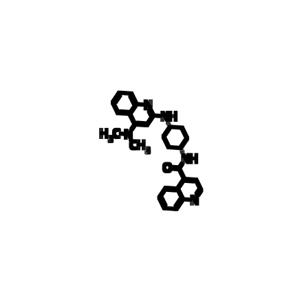 CN(C)c1cc(N[C@H]2CC[C@@H](NC(=O)c3ccnc4ccccc34)CC2)nc2ccccc12